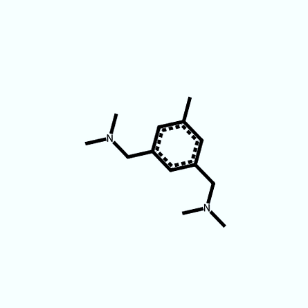 Cc1cc(CN(C)C)cc(CN(C)C)c1